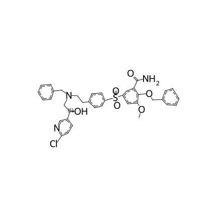 COc1cc(S(=O)(=O)c2ccc(CCN(Cc3ccccc3)C[C@@H](O)c3ccc(Cl)nc3)cc2)cc(C(N)=O)c1OCc1ccccc1